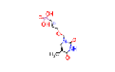 Cc1cn(COC/C=C/P(=O)(O)O)c(=O)[nH]c1=O